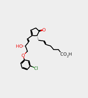 O=C(O)CCC/C=C/C[C@H]1C(=O)CC=C1/C=C/[C@@H](O)COc1cccc(Cl)c1